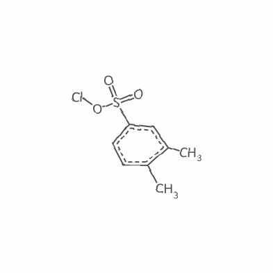 Cc1ccc(S(=O)(=O)OCl)cc1C